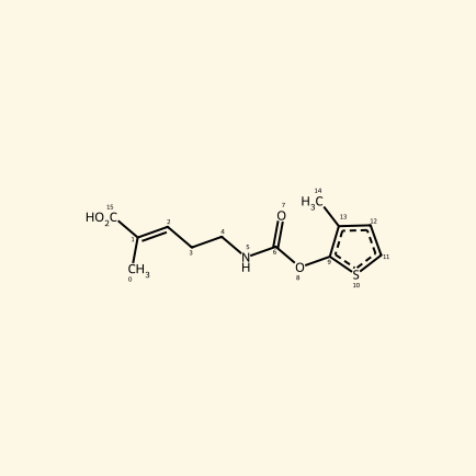 CC(=CCCNC(=O)Oc1sccc1C)C(=O)O